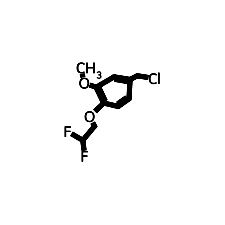 COc1cc(CCl)ccc1OCC(F)F